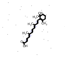 CC1=C(/C=C/C(C)=C/C=C/C(C)=C/C=C/C(=O)O)C(C)(C)CCC1